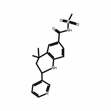 CC1(C)CC(c2cccnc2)Nc2ccc(C(=O)NS(C)(=O)=O)cc21